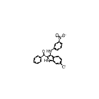 O=C(c1ccccc1)c1[nH]c2cc(Cl)ccc2c1Nc1cccc([N+](=O)[O-])c1